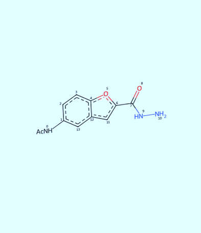 CC(=O)Nc1ccc2oc(C(=O)NN)cc2c1